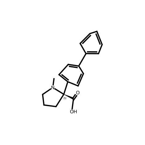 CN1CCC[C@@]1(C(=O)O)c1ccc(-c2ccccc2)cc1